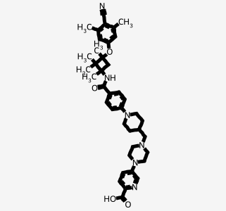 Cc1cc(OC2(C)CC(C)(NC(=O)c3ccc(N4CCC(CN5CCN(c6ccc(C(=O)O)nc6)CC5)CC4)cc3)C2(C)C)cc(C)c1C#N